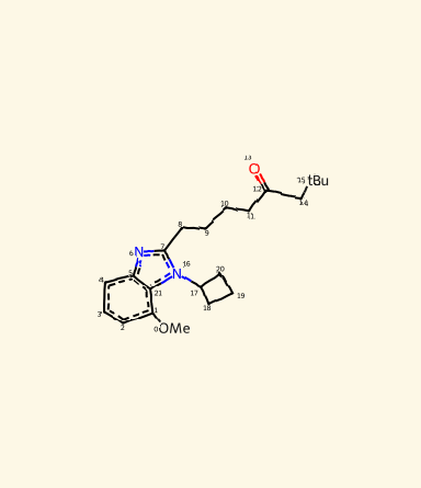 COc1cccc2nc(CCCCC(=O)CC(C)(C)C)n(C3CCC3)c12